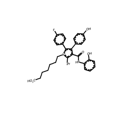 CC(C)c1c(C(=O)Nc2ccccc2O)c(-c2ccc(O)cc2)c(-c2ccc(F)cc2)n1CCCCCCC(=O)O